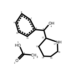 CC(=O)O.OC(c1ccccc1)C1CCCCN1